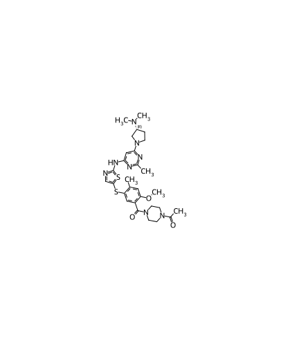 COc1cc(C)c(Sc2cnc(Nc3cc(N4CC[C@@H](N(C)C)C4)nc(C)n3)s2)cc1C(=O)N1CCN(C(C)=O)CC1